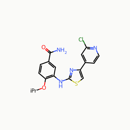 CC(C)Oc1ccc(C(N)=O)cc1Nc1nc(-c2ccnc(Cl)c2)cs1